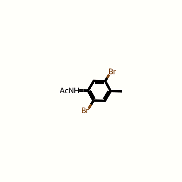 CC(=O)Nc1cc(Br)c(C)cc1Br